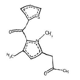 Cc1cc(CC(=O)O)n(C)c1C(=O)c1cccs1